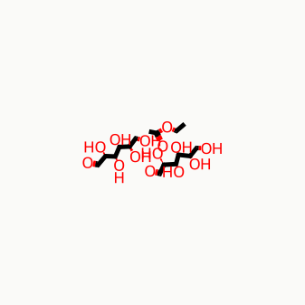 CCOC(C)=O.O=C[C@H](O)[C@@H](O)[C@H](O)[C@H](O)CO.O=C[C@H](O)[C@@H](O)[C@H](O)[C@H](O)CO